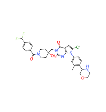 Cc1cc(-n2c(Cl)cc3c(=O)n(CC4(O)CCN(C(=O)c5ccc(C(F)F)cc5)CC4)cnc32)ccc1C1COCCN1